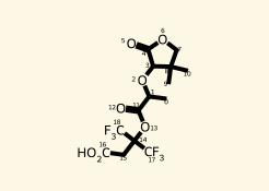 CC(OC1C(=O)OCC1(C)C)C(=O)OC(CC(=O)O)(C(F)(F)F)C(F)(F)F